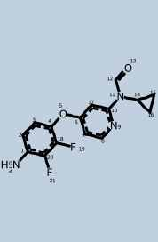 Nc1ccc(Oc2ccnc(N(C=O)C3CC3)c2)c(F)c1F